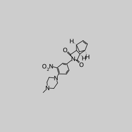 CN1CCN(c2ccc(N3C(=O)C4[C@H]5C=C[C@H](C5)[C@H]4C3=O)cc2[N+](=O)[O-])CC1